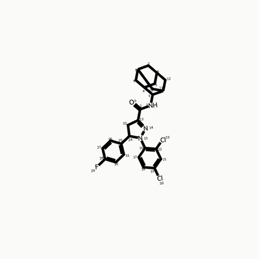 O=C(NC1C2CC3CC(C2)CC1C3)C1=NN(c2ccc(Cl)cc2Cl)C(c2ccc(F)cc2)C1